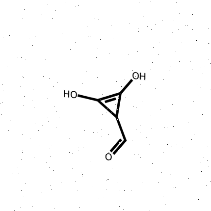 O=CC1C(O)=C1O